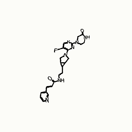 O=C(/C=C/c1cccnc1)NCCC1C2CN(c3nc(N4CCNC(=O)C4)ncc3F)CC12